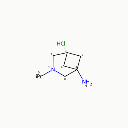 CC(C)N1CC2CC(N)(C2)C1.Cl